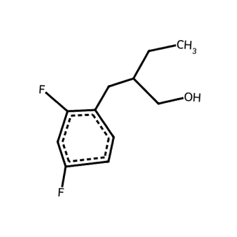 CCC(CO)Cc1ccc(F)cc1F